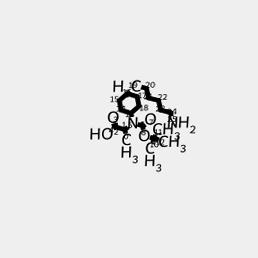 CC(C(=O)O)N(C(=O)OC(C)(C)C)C1CCCCC1.CCCCCCN